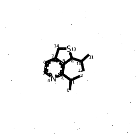 CC(C)c1nccc2c1C(C(C)C)SC2